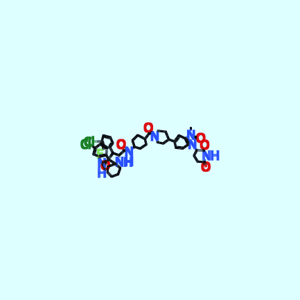 Cn1c(=O)n(C2CCC(=O)NC2=O)c2ccc(C3CCN(C(=O)C4CCC(NC(=O)C5NC6(CCCCC6)[C@@]6(C(=O)Nc7cc(Cl)ccc76)C5c5cccc(Cl)c5F)CC4)CC3)cc21